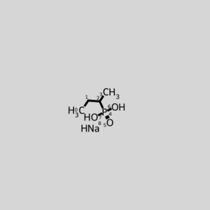 CCC(C)P(=O)(O)O.[NaH]